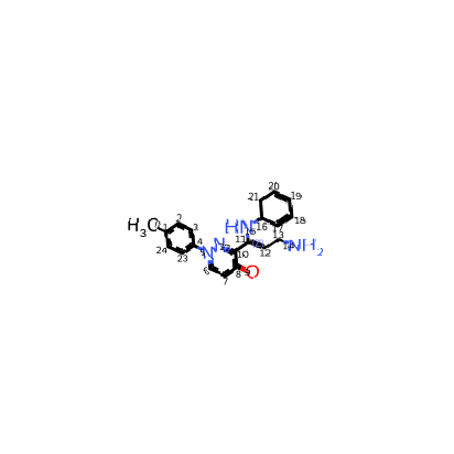 Cc1ccc(-n2ccc(=O)c(/C(=C/CN)NC3C=CC=CC3)n2)cc1